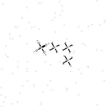 C[P+](C)(C)C.C[P+](C)(C)C.C[P+](C)(C)C.O=P([O-])([O-])[O-]